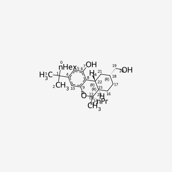 CCCCCCC(C)(C)c1cc(O)c2c(c1)O[C@@](C)(CCC)[C@@H]1CC[C@@H](CO)C[C@@H]21